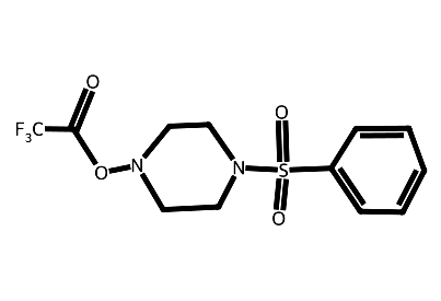 O=C(ON1CCN(S(=O)(=O)c2ccccc2)CC1)C(F)(F)F